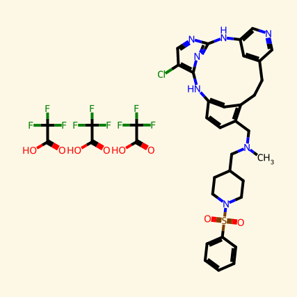 CN(Cc1ccc2cc1CCc1cncc(c1)Nc1ncc(Cl)c(n1)N2)CC1CCN(S(=O)(=O)c2ccccc2)CC1.O=C(O)C(F)(F)F.O=C(O)C(F)(F)F.O=C(O)C(F)(F)F